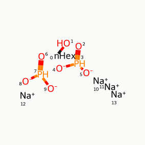 CCCCCCO.O=[PH]([O-])[O-].O=[PH]([O-])[O-].[Na+].[Na+].[Na+].[Na+]